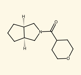 O=C(C1CCOCC1)N1C[C@H]2CCC[C@H]2C1